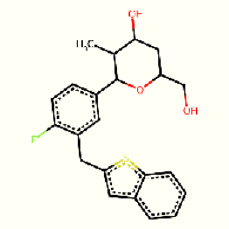 CC1C(O)CC(CO)OC1c1ccc(F)c(Cc2cc3ccccc3s2)c1